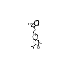 CC(C)C1OC2(CCN(CCc3c[nH]c4ccccc34)CC2)CN(C)C1=O